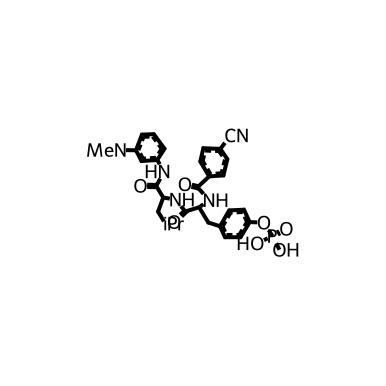 CNc1cccc(NC(=O)C(CC(C)C)NC(=O)C(Cc2ccc(OP(=O)(O)O)cc2)NC(=O)c2ccc(C#N)cc2)c1